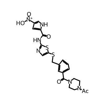 CC(=O)N1CCN(C(=O)c2cccc(CSc3cnc(NC(=O)c4cc([N+](=O)O)c[nH]4)s3)c2)CC1